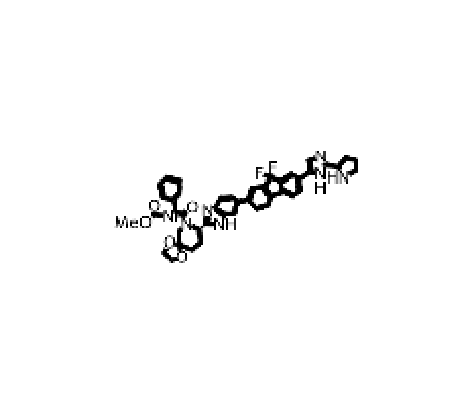 COC(=O)N[C@@H](C(=O)N1CC2(CC[C@@H]1c1nc3ccc(-c4ccc5c(c4)C(F)(F)c4cc(-c6cnc(C7CCCN7)[nH]6)ccc4-5)cc3[nH]1)OCCO2)c1ccccc1